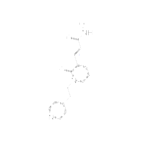 O=C(/C=C/c1cccn(CCc2ccncc2)c1=O)NO